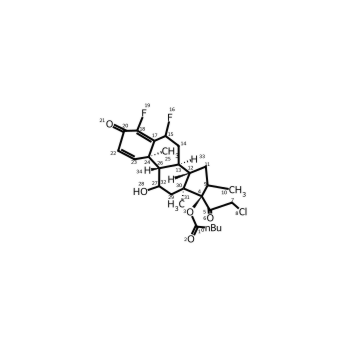 CCCCC(=O)O[C@]1(C(=O)CCl)C(C)C[C@H]2[C@@H]3CC(F)C4=C(F)C(=O)C=C[C@]4(C)[C@H]3C(O)C[C@@]21C